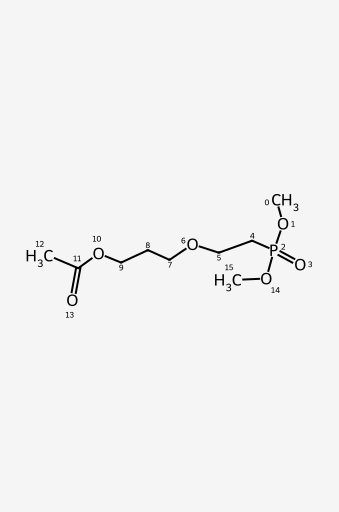 COP(=O)(CCOCCCOC(C)=O)OC